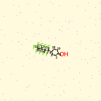 Oc1ccc(C(F)(F)C(F)(F)C(F)(F)C(F)(F)F)cc1